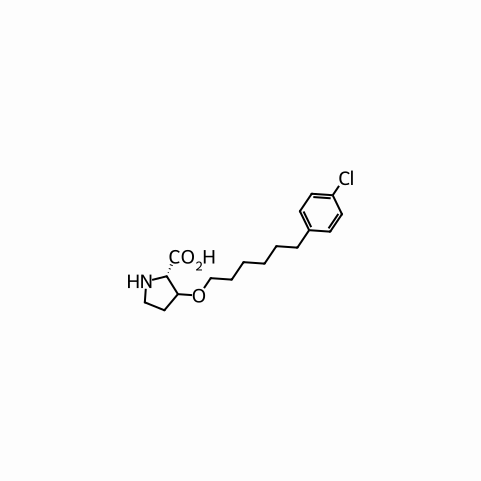 O=C(O)[C@H]1NCCC1OCCCCCCc1ccc(Cl)cc1